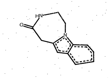 O=C1Cc2cc3ccccc3n2CCN1